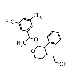 CC(O[C@H]1OCC[C@@H](CCO)[C@@H]1c1ccccc1)c1cc(C(F)(F)F)cc(C(F)(F)F)c1